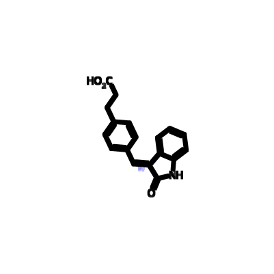 O=C(O)CCc1ccc(/C=C2/C(=O)Nc3ccccc32)cc1